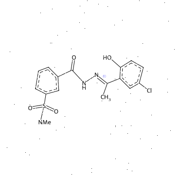 CNS(=O)(=O)c1cccc(C(=O)N/N=C(\C)c2cc(Cl)ccc2O)c1